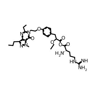 CCCc1nn(C)c2c(=O)n(CCOc3ccc(CC(OCC)C(=O)OC(=O)[C@@H](N)CCCNC(=N)N)cc3)c(CC)nc12